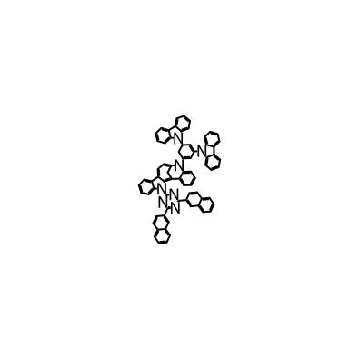 C1=C2CC(=c3c(c4ccccc4n3-c3nc(-c4ccc5ccccc5c4)nc(-c4ccc5ccccc5c4)n3)=C1)c1ccccc1N2C1=CC(n2c3ccccc3c3ccccc32)=CC(n2c3ccccc3c3ccccc32)C1